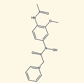 COc1cc(N(O)C(=O)C[n+]2ccccc2)ccc1NC(C)=O